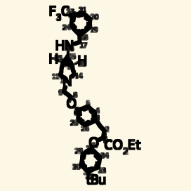 CCOC(=O)[C@H](Cc1ccc(OCCN2C[C@@H]3[C@H](C2)[C@H]3NCc2cccc(C(F)(F)F)c2)cc1)Oc1ccc(C(C)(C)C)cc1